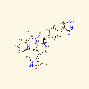 Cc1noc(C)c1-c1cnc2c(-c3ccc(-c4nnn[nH]4)cc3)cn([C@@H](C)c3ccccn3)c2c1